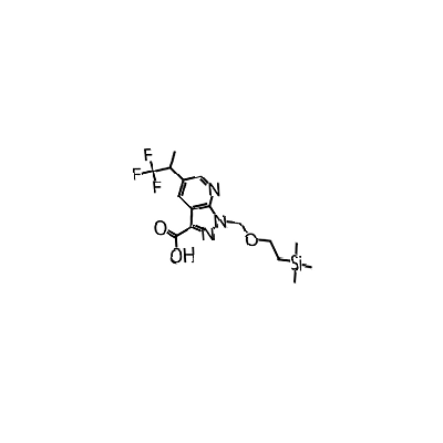 CC(c1cnc2c(c1)c(C(=O)O)nn2COCC[Si](C)(C)C)C(F)(F)F